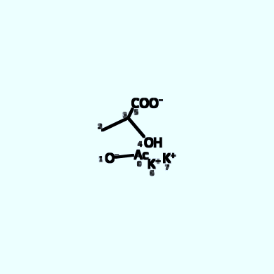 CC(=O)[O-].CC(O)C(=O)[O-].[K+].[K+]